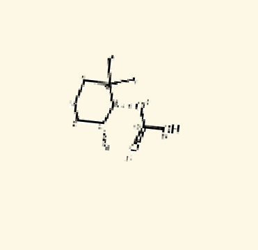 C[C@@H]1CCCC(C)(C)[C@@H]1OC(=O)O